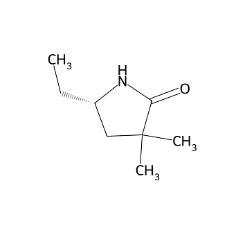 CC[C@H]1CC(C)(C)C(=O)N1